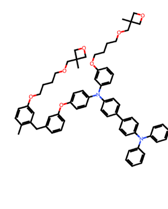 Cc1ccc(OCCCCOCC2(C)COC2)cc1Cc1cccc(Oc2ccc(N(c3ccc(-c4ccc(N(c5ccccc5)c5ccccc5)cc4)cc3)c3cccc(OCCCCOCC4(C)COC4)c3)cc2)c1